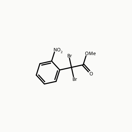 COC(=O)C(Br)(Br)c1ccccc1[N+](=O)[O-]